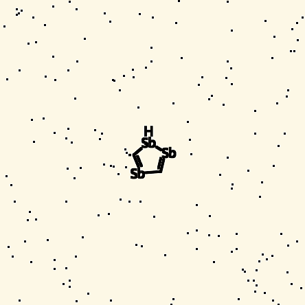 [C]1=[Sb][CH]=[Sb][SbH]1